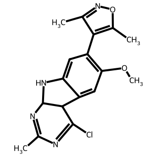 COc1cc2c(cc1-c1c(C)noc1C)NC1N=C(C)N=C(Cl)C21